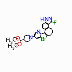 COC(OC)C1CCN(c2ccc(C3=C(Br)CCCc4c3ccc3[nH]nc(F)c43)nc2)CC1